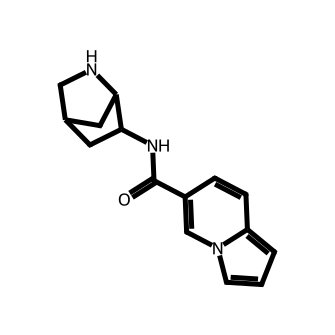 O=C(NC1CC2CNC1C2)c1ccc2cccn2c1